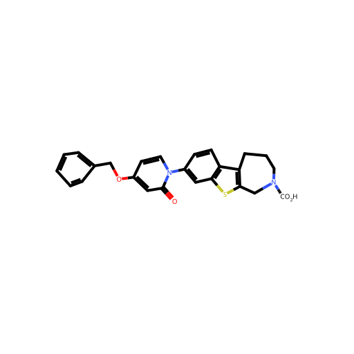 O=C(O)N1CCCc2c(sc3cc(-n4ccc(OCc5ccccc5)cc4=O)ccc23)C1